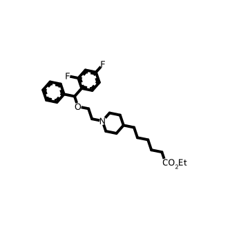 CCOC(=O)CCCCCC1CCN(CCOC(c2ccccc2)c2ccc(F)cc2F)CC1